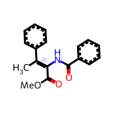 COC(=O)/C(NC(=O)c1ccccc1)=C(\C)c1ccccc1